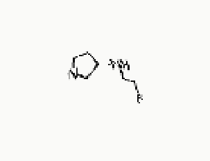 FCCNC1CC[N]C1